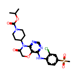 CC(C)OC(=O)N1CCC(N2C(=O)COc3c(Nc4ccc(S(C)(=O)=O)cc4Cl)ncnc32)CC1